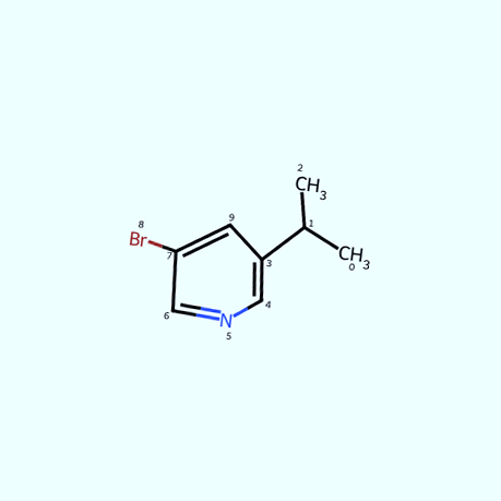 CC(C)c1cncc(Br)c1